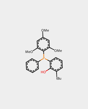 COc1cc(OC)c(P(c2ccccc2)c2cccc(C(C)(C)C)c2O)c(OC)c1